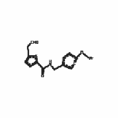 CC(C)Oc1ccc(CNC(=O)c2ccc(CC=O)s2)cc1